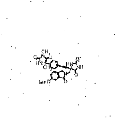 COc1ccc2c(c1)C(=O)N(C[C@@]1(C#Cc3ccc(C4(C)NC(=O)N(C)C4=O)cc3)NC(=O)NC1=O)C2